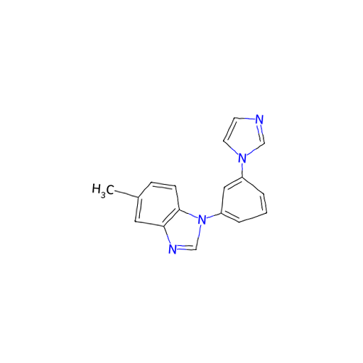 Cc1ccc2c(c1)ncn2-c1cccc(-n2ccnc2)c1